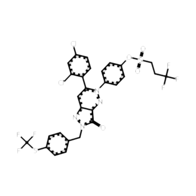 O=c1c2nn(-c3ccc(OS(=O)(=O)CCC(F)(F)F)cc3)c(-c3ccc(Cl)cc3Cl)cc-2nn1Cc1ccc(SC(F)(F)F)cc1